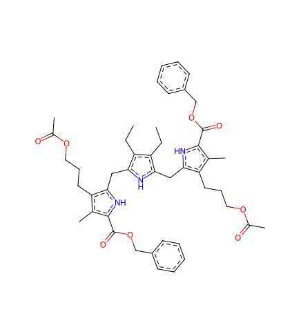 CCc1c(Cc2[nH]c(C(=O)OCc3ccccc3)c(C)c2CCCOC(C)=O)[nH]c(Cc2[nH]c(C(=O)OCc3ccccc3)c(C)c2CCCOC(C)=O)c1CC